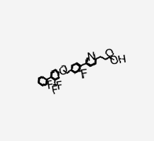 O=C(O)CCc1ccc(-c2ccc(COc3ccc(-c4ccccc4)c(C(F)(F)F)c3)cc2F)cn1